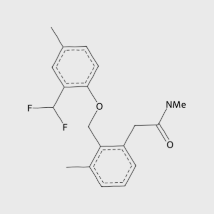 CNC(=O)Cc1cccc(C)c1COc1ccc(C)cc1C(F)F